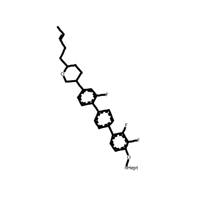 C/C=C/CCC1CCC(c2ccc(-c3ccc(-c4ccc(OCCCCCCC)c(F)c4F)cc3)c(F)c2)CO1